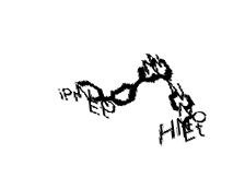 CCNC(=O)N1CCN(c2ccnn3cc(-c4ccc([C@@]5(OCC)CCCN(C(C)C)C5)cc4)cc23)CC1